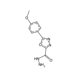 COc1ccc(-c2nnc(C(=O)NN)o2)cc1